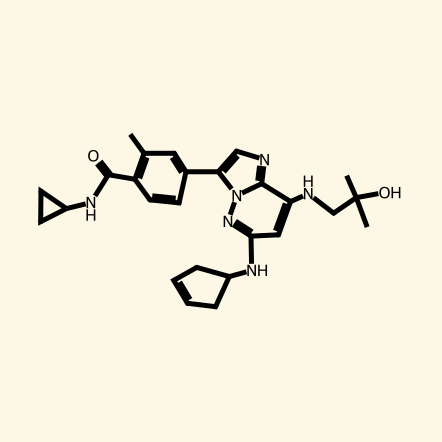 Cc1cc(-c2cnc3c(NCC(C)(C)O)cc(NC4CC=CC4)nn23)ccc1C(=O)NC1CC1